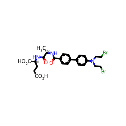 C[C@H](NC(=O)c1ccc(-c2ccc(N(CCBr)CCBr)cc2)cc1)C(=O)N[C@@H](CCC(=O)O)C(=O)O